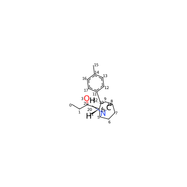 CCC(=O)[C@H]1C2CCC(C[C@@H]1c1ccc(C)cc1)CN2C